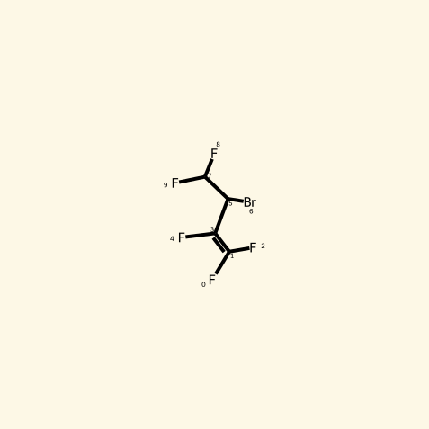 FC(F)=C(F)C(Br)C(F)F